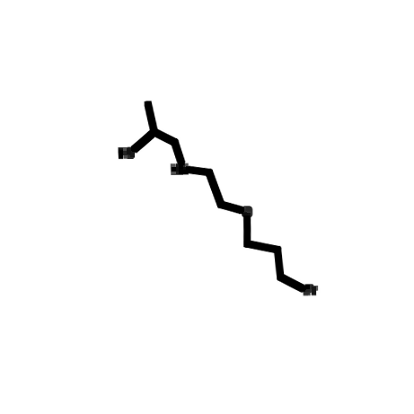 CC(C)CCCOCCNCC(C)S